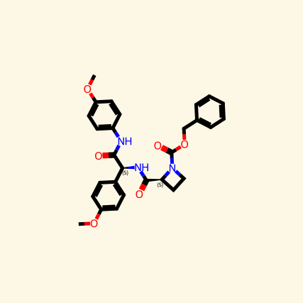 COc1ccc(NC(=O)[C@@H](NC(=O)[C@@H]2CCN2C(=O)OCc2ccccc2)c2ccc(OC)cc2)cc1